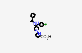 O=C(O)c1cccc(N2CCC(CN[C@@H]3C[C@H]3c3ccccc3)(Cc3ccc(F)cc3)CC2)n1